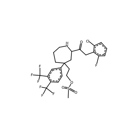 CS(=O)(=O)OCCC1(c2ccc(C(F)(F)F)c(C(F)(F)F)c2)CCCNC(C(=O)Cc2c(F)cccc2Cl)C1